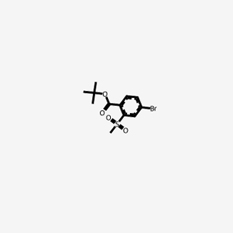 CC(C)(C)OC(=O)c1ccc(Br)cc1S(C)(=O)=O